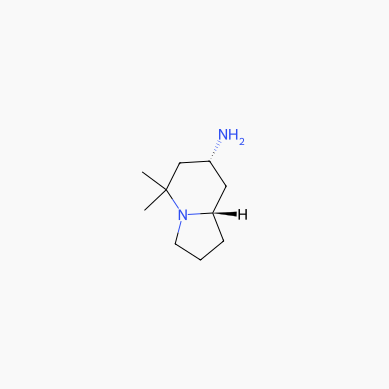 CC1(C)C[C@H](N)C[C@@H]2CCCN21